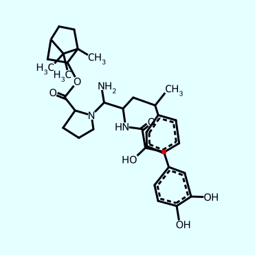 CC(CC(NC(=O)C(O)Cc1ccc(O)c(O)c1)C(N)N1CCCC1C(=O)OC1CC2CCC1(C)C2(C)C)c1ccccc1